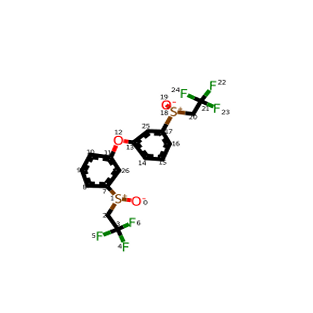 [O-][S+](CC(F)(F)F)c1cccc(Oc2cccc([S+]([O-])CC(F)(F)F)c2)c1